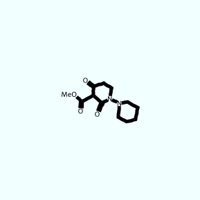 COC(=O)C1C(=O)CCN(N2CCCCC2)C1=O